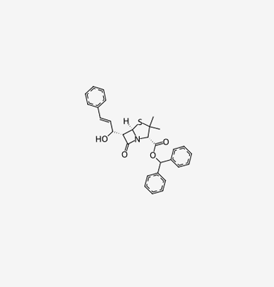 CC1(C)S[C@@H]2[C@@H](C(O)/C=C/c3ccccc3)C(=O)N2[C@H]1C(=O)OC(c1ccccc1)c1ccccc1